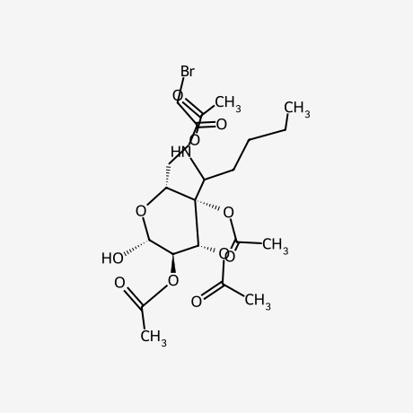 CCCCC(NC(=O)CBr)[C@@]1(OC(C)=O)[C@H](OC(C)=O)[C@@H](OC(C)=O)[C@H](O)O[C@@H]1COC(C)=O